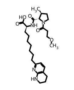 COCCC(=O)N1CC[C@H](C)[C@H]1C(=O)N[C@@H](CCCCCCCc1ccc2c(n1)NCCC2)C(=O)O